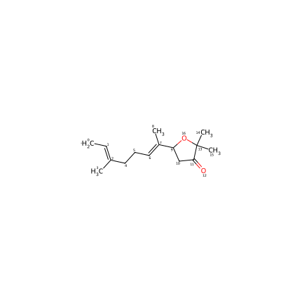 [CH2]C=C(C)CCC=C(C)C1CC(=O)C(C)(C)O1